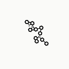 c1ccc(-c2ccc(N(c3ccc(-c4ccccc4-c4ccc5c6ccccc6n(-c6cccc7c6sc6ccccc67)c5c4)cc3)c3cccc4ccccc34)cc2)cc1